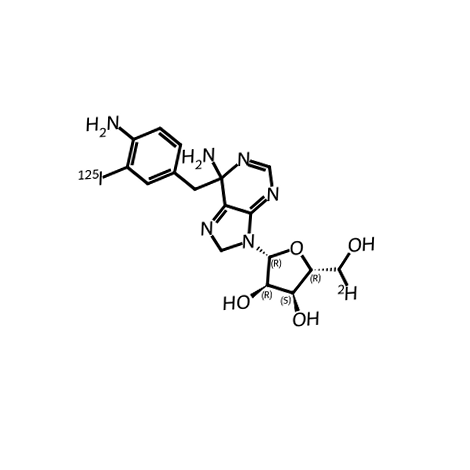 [2H]C(O)[C@H]1O[C@@H](N2CN=C3C2=NC=NC3(N)Cc2ccc(N)c([125I])c2)[C@H](O)[C@@H]1O